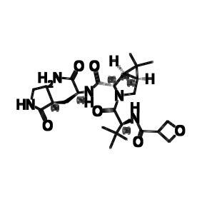 CC(C)(C)[C@H](NC(=O)C1COC1)C(=O)N1C[C@H]2[C@@H]([C@H]1C(=O)N[C@@H](C[C@@H]1CCNC1=O)C(N)=O)C2(C)C